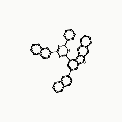 c1ccc(C2N=C(c3ccc4ccccc4c3)N=C(c3cc(-c4ccc5ccccc5c4)cc4oc5cc6ccccc6cc5c34)N2)cc1